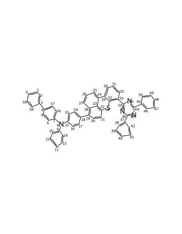 c1ccc(-c2ccc(N(c3ccccc3)c3ccc(-c4ccc5c6c(cccc46)-c4cccc(-c6nc(-c7ccccc7)nc(-c7ccccc7)n6)c4S5)cc3)cc2)cc1